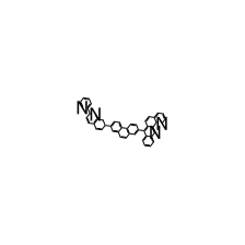 C1=CC(c2ccc3c(ccc4cc(-c5c6ccccc6nc6c5ccc5cccnc56)ccc43)c2)Cc2nc(-c3ccccn3)ccc21